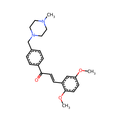 COc1ccc(OC)c(C=CC(=O)c2ccc(CN3CCN(C)CC3)cc2)c1